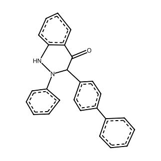 O=C1c2ccccc2NN(c2ccccc2)C1c1ccc(-c2ccccc2)cc1